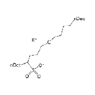 CCCCCCCCCCCCCCCCCCC(CCCCCCCC)S(=O)(=O)[O-].[K+]